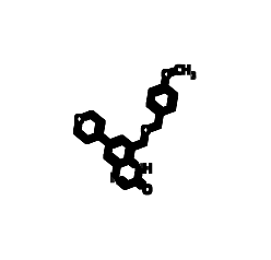 COc1ccc(COCc2cc(C3=CCOCC3)cc3ncc(=O)[nH]c23)cc1